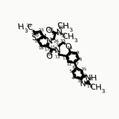 Cc1nc2ccc(-c3ccc4c(c3)CN(C(=O)c3cc5sc(C)cc5n3CC(=O)N(C)C)CCO4)cc2[nH]1